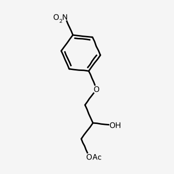 CC(=O)OCC(O)COc1ccc([N+](=O)[O-])cc1